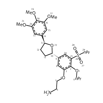 CCCOc1c(OCCN)cc([C@@H]2CC[C@@H](c3cc(OC)c(OC)c(OC)c3)O2)cc1S(=O)(=O)CCC